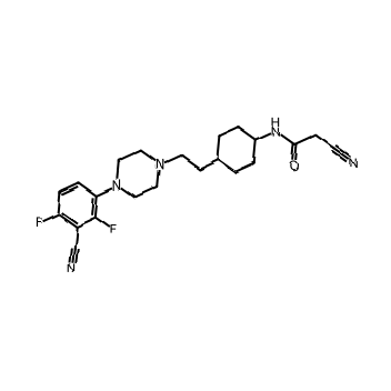 N#CCC(=O)NC1CCC(CCN2CCN(c3ccc(F)c(C#N)c3F)CC2)CC1